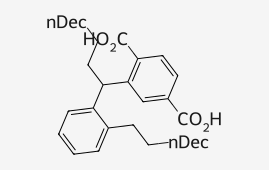 CCCCCCCCCCCCc1ccccc1C(CCCCCCCCCCCC)c1cc(C(=O)O)ccc1C(=O)O